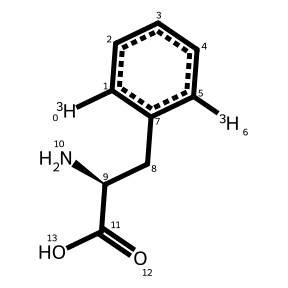 [3H]c1cccc([3H])c1C[C@H](N)C(=O)O